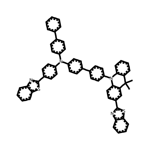 CC1(C)c2ccccc2N(c2ccc(-c3ccc(N(c4ccc(-c5ccccc5)cc4)c4ccc(-c5nc6ccccc6s5)cc4)cc3)cc2)c2ccc(-c3nc4ccccc4s3)cc21